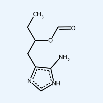 CCC(Cc1nc[nH]c1N)OC=O